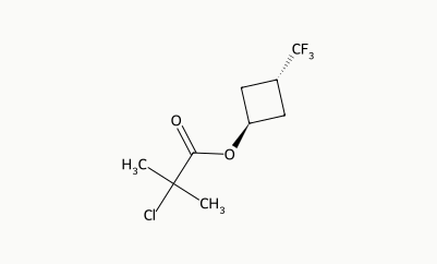 CC(C)(Cl)C(=O)O[C@H]1C[C@H](C(F)(F)F)C1